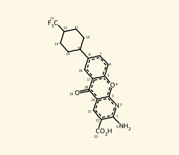 Nc1nc2oc3ccc(C4CCC(C(F)(F)F)CC4)cc3c(=O)c2cc1C(=O)O